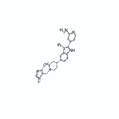 Cc1nc[nH]c1CN1CCC(c2ccc3[nH]c(-c4ccnc(N)c4)c(C(C)C)c3c2)CC1